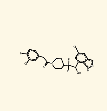 O=C(Cc1ccc(F)c(Cl)c1)N1CCC(C(F)(F)C(O)c2cc(Cl)cc3cn[nH]c23)CC1